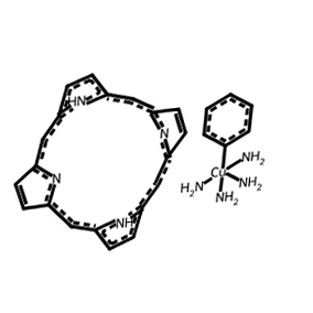 C1=Cc2cc3ccc(cc4nc(cc5ccc(cc1n2)[nH]5)C=C4)[nH]3.[NH2][Cu]([NH2])([NH2])([NH2])[c]1ccccc1